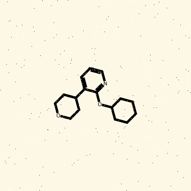 c1cnc(OC2CCCCC2)c(C2CCOCC2)c1